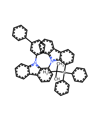 CC(C)(C)[Si](c1ccccc1)(c1ccccc1)c1cccc2c3ccccc3n(-c3cccc4c5ccccc5n(-c5cccc(-c6ccccc6)c5)c34)c12